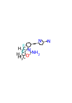 CC1(C)OCC(N)=N[C@](C)(c2cc(C#Cc3ccc(C#N)cn3)ccc2F)C1(F)F